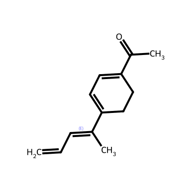 C=C/C=C(\C)C1=CC=C(C(C)=O)CC1